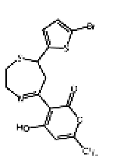 Cc1cc(O)c(C2=NCCSC(c3ccc(Br)s3)C2)c(=O)o1